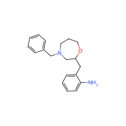 Nc1ccccc1CC1CN(Cc2ccccc2)CCCO1